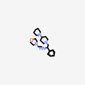 c1ccc(C(CN2CCC(N3CCCCC3)CC2)NCCN2CCOCC2)cc1